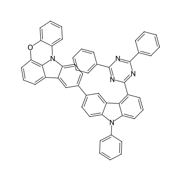 c1ccc(-c2nc(-c3ccccc3)nc(-c3cccc4c3c3cc(-c5ccc6c(c5)c5cccc7c5n6-c5ccccc5O7)ccc3n4-c3ccccc3)n2)cc1